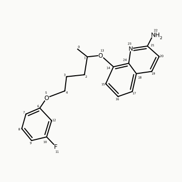 CC(CCCOc1cccc(F)c1)Oc1cccc2ccc(N)nc12